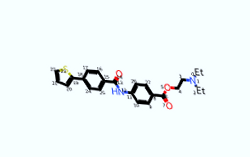 CCN(CC)CCOC(=O)c1ccc(NC(=O)c2ccc(-c3cccs3)cc2)cc1